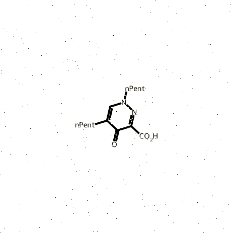 CCCCCc1cn(CCCCC)nc(C(=O)O)c1=O